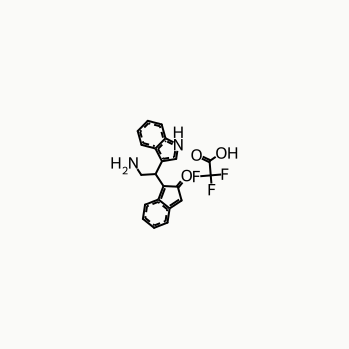 NCC(C1=c2ccccc2=CC1=O)c1c[nH]c2ccccc12.O=C(O)C(F)(F)F